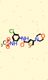 CS(=O)(=O)Nc1cc(Cl)cc(NC(=O)c2cc(N3CCOCC3)cs2)c1